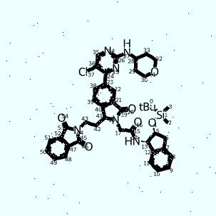 CC(C)(C)[Si](C)(C)O[C@@H]1Cc2ccccc2[C@@H]1NC(=O)CN1C(=O)c2cc(-c3nc(NC4CCOCC4)ncc3Cl)ccc2C1CCN1C(=O)c2ccccc2C1=O